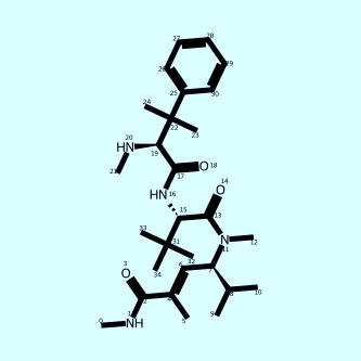 CNC(=O)/C(C)=C/[C@H](C(C)C)N(C)C(=O)[C@@H](NC(=O)[C@@H](NC)C(C)(C)c1ccccc1)C(C)(C)C